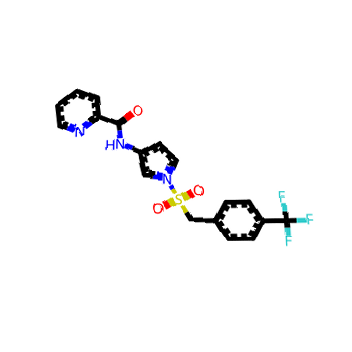 O=C(Nc1ccn(S(=O)(=O)Cc2ccc(C(F)(F)F)cc2)c1)c1ccccn1